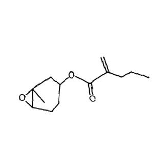 C=C(CCC)C(=O)OC1CCC2OC2(C)C1